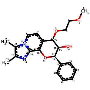 COCCO[C@@H]1c2ccn3c(C)c(C)nc3c2O[C@H](c2ccccc2)[C@@H]1O